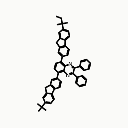 CCC(C)(C)c1ccc2c(c1)Cc1cc(-c3ccc(-c4ccc5c(c4)Cc4cc(C(C)(C)C)ccc4-5)c4nc(-c5ccccc5)c(-c5ccccc5)nc34)ccc1-2